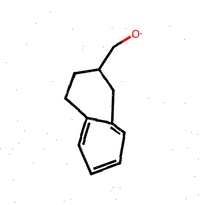 [O]CC1CCc2ccccc2C1